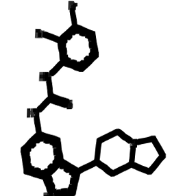 S=C(Nc1ccc2[nH]cc(C3CCN4CCCC4C3)c2c1)Nc1cccc(Br)c1Br